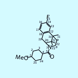 COC1CCC(C(=O)N2CCC3(C)c4cc(F)ccc4CC2C3(C)C)CC1